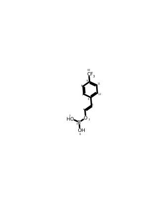 OB(O)OC=Cc1ccc(C(F)(F)F)cc1